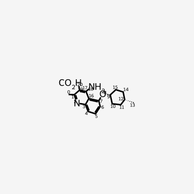 Cc1nc2cccc(O[C@H]3CC[C@@H](C)CC3)c2c(N)c1C(=O)O